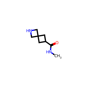 CNC(=O)C1CC2(CNC2)C1